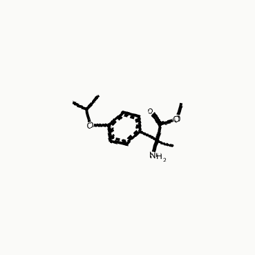 COC(=O)C(C)(N)c1ccc(OC(C)C)cc1